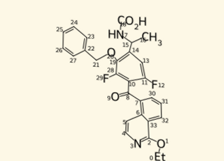 CCOc1nccc2c(C(=O)c3c(F)cc(C(C)NC(=O)O)c(OCc4ccccc4)c3F)cccc12